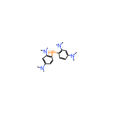 CN(C)c1ccc(Pc2ccc(N(C)C)cc2N(C)C)c(N(C)C)c1